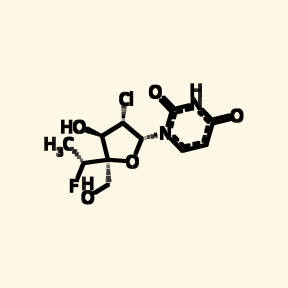 C[C@@H](F)[C@]1(CO)O[C@@H](n2ccc(=O)[nH]c2=O)[C@@H](Cl)[C@@H]1O